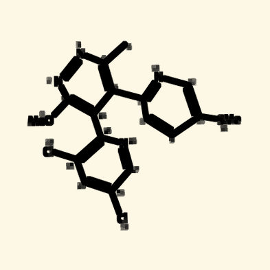 COc1nnc(C)c(-c2ccc(SC)cn2)c1-c1ncc(Cl)cc1Cl